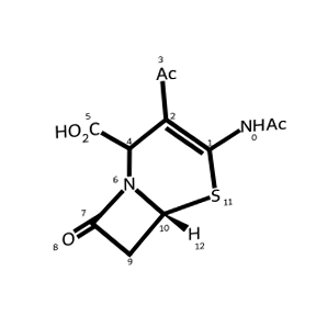 CC(=O)NC1=C(C(C)=O)C(C(=O)O)N2C(=O)C[C@H]2S1